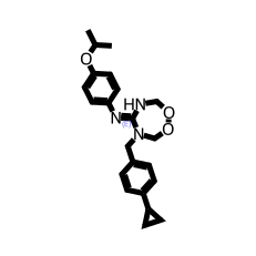 CC(C)Oc1ccc(/N=C2\NCOOCN2Cc2ccc(C3CC3)cc2)cc1